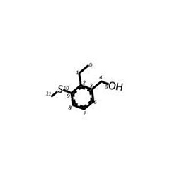 CCc1c(CO)cccc1SC